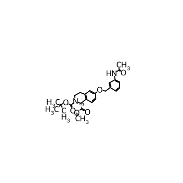 COC(=O)[C@H]1c2ccc(OCc3cccc(NC(C)=O)c3)cc2CCN1C(=O)OC(C)(C)C